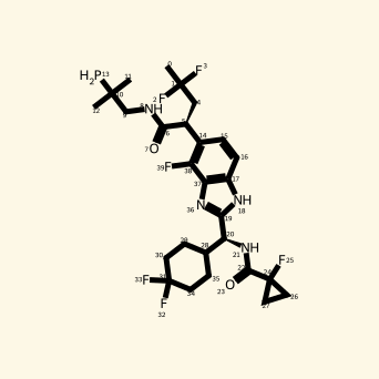 CC(F)(F)C[C@H](C(=O)NCC(C)(C)P)c1ccc2[nH]c([C@@H](NC(=O)C3(F)CC3)C3CCC(F)(F)CC3)nc2c1F